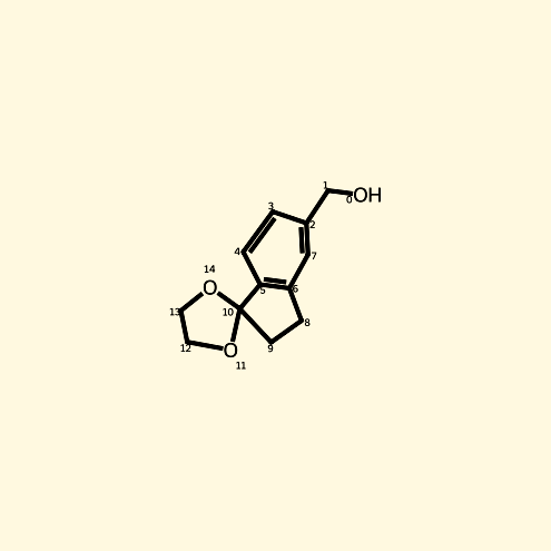 OCc1ccc2c(c1)CCC21OCCO1